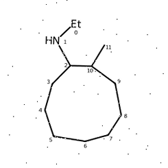 CCNC1CCCCCCCC1C